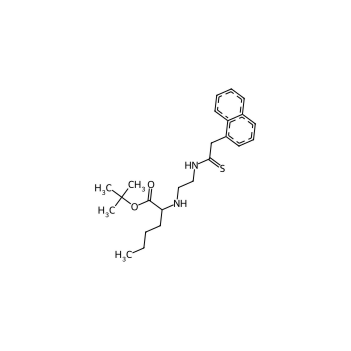 CCCCC(NCCNC(=S)Cc1cccc2ccccc12)C(=O)OC(C)(C)C